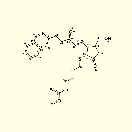 COC(=O)CSCCCS[C@H]1C(=O)CC(CO)C1/C=C/[C@H](O)CCc1ccc2ccccc2c1